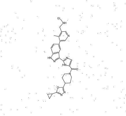 CCNCc1cncc(-c2ccc3[nH]nc(-c4ncc(C(=O)N5CCC(c6nnc(C7CC7)o6)CC5)[nH]4)c3c2)c1C